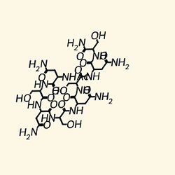 CC(=O)NC(CC(N)=O)C(=O)NC(CO)C(=O)NC(CC(N)=O)C(=O)NC(CO)C(=O)NC(CC(N)=O)C(=O)NC(CO)C(=O)NC(CC(N)=O)C(=O)NC(CO)C(N)=O